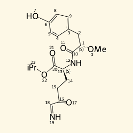 CO[C@@H](Cc1ccc(O)cc1)C(=O)N[C@@H](CCC(=O)C=N)C(=O)OC(C)C